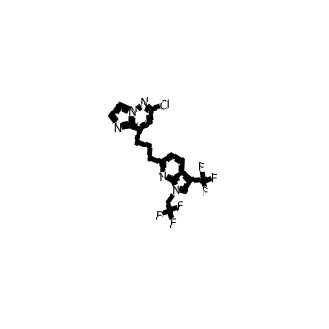 FC(F)(F)Cn1cc(C(F)(F)F)c2ccc(CCCc3cc(Cl)nn4ccnc34)nc21